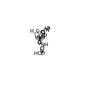 COc1cc(Cn2cccn2)cc2onc(NS(=O)(=O)c3cccc(NC4CCN(C(=O)O)CC4)c3)c12